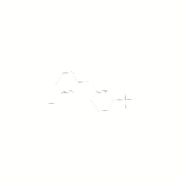 CSc1cnnc(Oc2cccc(C(F)(F)F)c2)c1